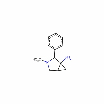 NC12CC1CN(C(=O)O)C2c1ccccc1